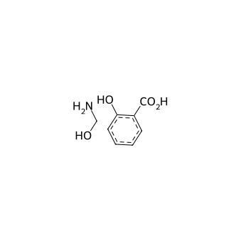 NCO.O=C(O)c1ccccc1O